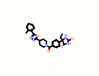 CCC1(c2ccc(C(=O)N3CCC(c4nnc(-c5ccccc5C)o4)CC3)cc2)NC(=O)NC1=O